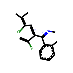 C=C(F)C(=C\C(Cl)=C(C)C)/C(=N/C)c1ccccc1C